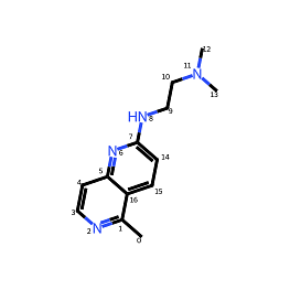 Cc1nccc2nc(NCCN(C)C)ccc12